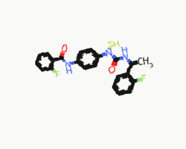 CC(NC(=O)N(S)c1ccc(NC(=O)c2ccccc2F)cc1)c1ccccc1F